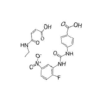 CCNC(=O)/C=C\C(=O)O.O=C(Nc1ccc(C(=O)O)cc1)Nc1cc([N+](=O)[O-])ccc1F